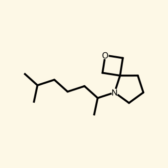 CC(C)CCCC(C)N1CCCC12COC2